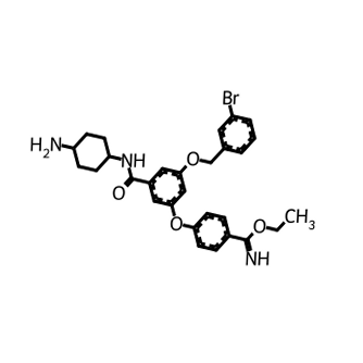 CCOC(=N)c1ccc(Oc2cc(OCc3cccc(Br)c3)cc(C(=O)NC3CCC(N)CC3)c2)cc1